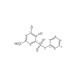 O=C(O)c1cc(Cl)c(Cl)c(S(=O)(=O)Cc2ccccc2)c1